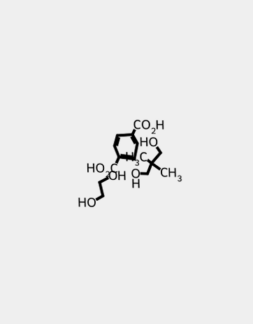 CC(C)(CO)CO.O=C(O)c1ccc(C(=O)O)cc1.OCCO